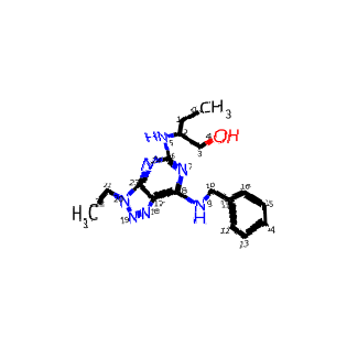 CCC(CO)Nc1nc(NCc2ccccc2)c2nnn(CC)c2n1